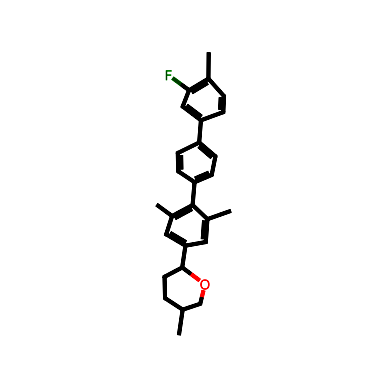 Cc1ccc(-c2ccc(-c3c(C)cc(C4CCC(C)CO4)cc3C)cc2)cc1F